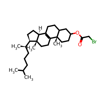 CC(C)CCC[C@@H](C)[C@H]1CC[C@H]2C3=C(CC[C@]12C)[C@@]1(C)CCC(OC(=O)CBr)CC1CC3